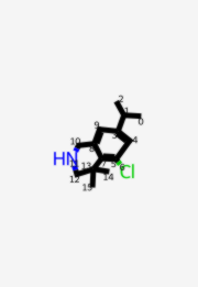 CC(C)c1cc(Cl)c2c(c1)CNCC2(C)C